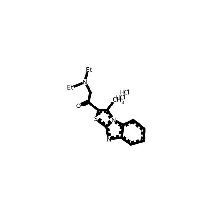 CCN(CC)CC(=O)c1sc2nc3ccccc3n2c1C.Cl.Cl